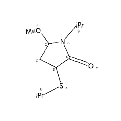 COC1CC(SC(C)C)C(=O)N1C(C)C